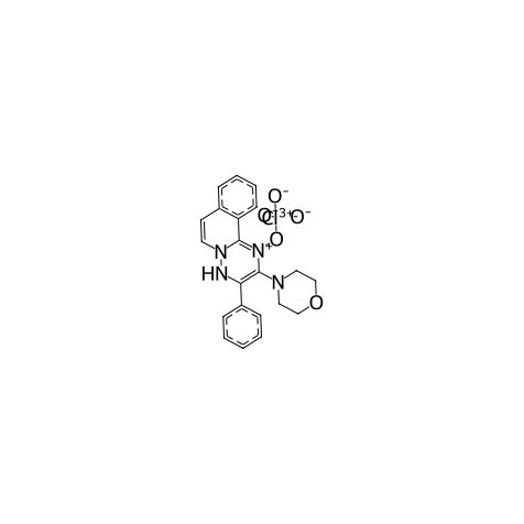 [O-][Cl+3]([O-])([O-])O[N+]1=C2c3ccccc3C=CN2NC(c2ccccc2)=C1N1CCOCC1